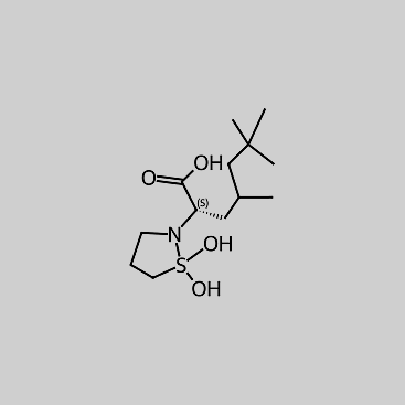 CC(C[C@@H](C(=O)O)N1CCCS1(O)O)CC(C)(C)C